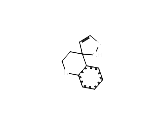 C1=CC2(CCNc3ccccc32)NN1